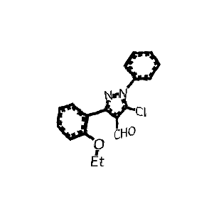 CCOc1ccccc1-c1nn(-c2ccccc2)c(Cl)c1C=O